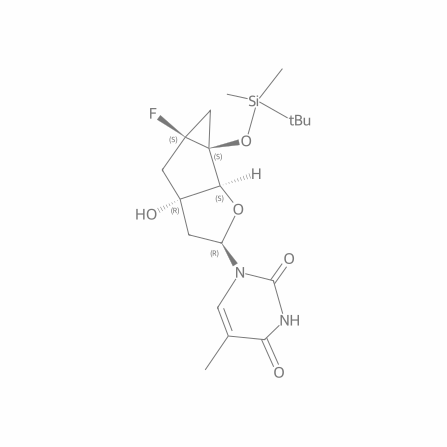 Cc1cn([C@H]2C[C@@]3(O)C[C@]4(F)C[C@]4(O[Si](C)(C)C(C)(C)C)[C@H]3O2)c(=O)[nH]c1=O